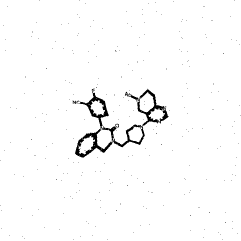 CC(=O)N1CCc2ncnc(N3CCC(CN4Cc5ccccc5N(c5ccc(F)c(C#N)c5)C4=O)CC3)c2C1